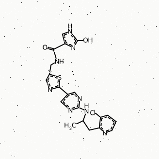 CC(Cc1ncccc1Cl)Nc1ncc(-c2ncc(CNC(=O)c3c[nH]c(O)n3)s2)cn1